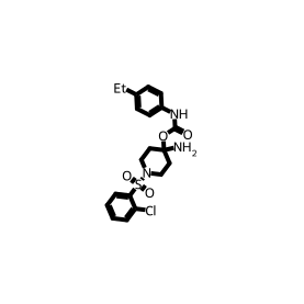 CCc1ccc(NC(=O)OC2(N)CCN(S(=O)(=O)c3ccccc3Cl)CC2)cc1